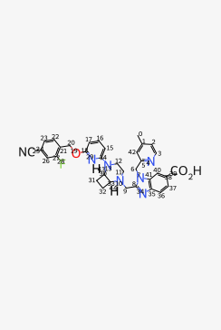 Cc1ccnc(Cn2c(CN3CCN(c4cccc(OCc5ccc(C#N)cc5F)n4)[C@@H]4CC[C@@H]43)nc3ccc(C(=O)O)cc32)c1